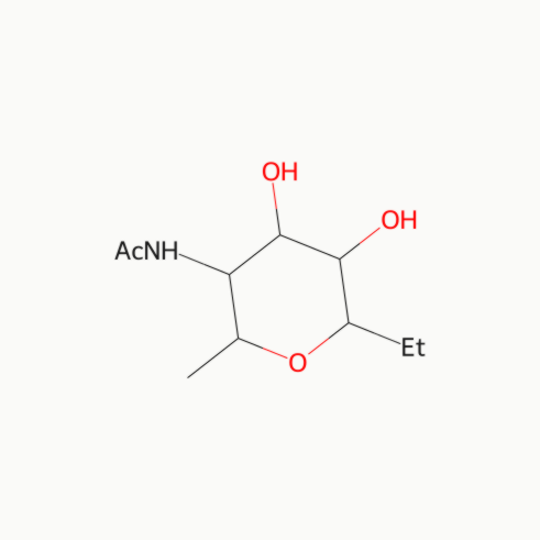 CCC1OC(C)C(NC(C)=O)C(O)C1O